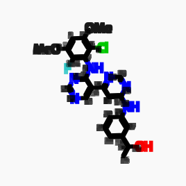 COc1cc(OC)c(Cl)c(Nc2ncncc2-c2cc(Nc3cccc(C(C)O)c3)ncn2)c1F